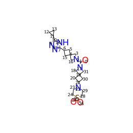 O=C(N1CC2(CC(c3nnc(C4CC4)[nH]3)C2)C1)N1CC2(CC(N3CCS(=O)(=O)CC3)C2)C1